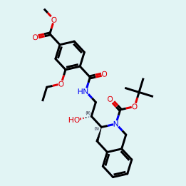 CCOc1cc(C(=O)OC)ccc1C(=O)NC[C@@H](O)[C@@H]1Cc2ccccc2CN1C(=O)OC(C)(C)C